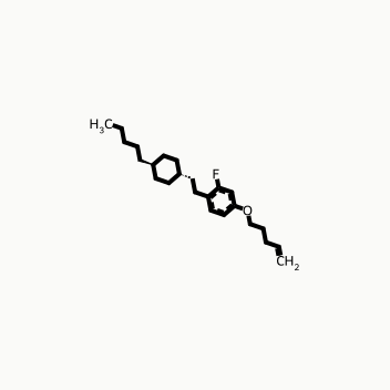 C=CCCCOc1ccc(CC[C@H]2CC[C@H](CCCCC)CC2)c(F)c1